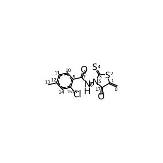 C=C1SC(=S)N(NC(=O)c2ccc(C)cc2Cl)C1=O